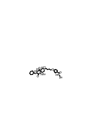 CCCCN1C(=O)[C@@H](CC2(O)CCCCC2)NC(=O)C12CCN(CCCCOc1ccc(C(=O)NCC(C)C)cc1)CC2.Cl